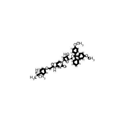 COc1ccc(C(OC[C@H]2O[C@@H](n3ccc(NC(=O)COc4ccc(C(C)(C)C)cc4)nc3=O)C[C@@H]2O)(c2ccccc2)c2ccc(OC)cc2)cc1